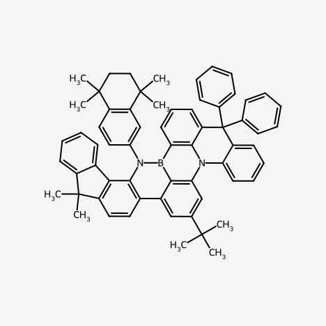 CC(C)(C)c1cc2c3c(c1)N1c4ccccc4C(c4ccccc4)(c4ccccc4)c4cccc(c41)B3N(c1ccc3c(c1)C(C)(C)CCC3(C)C)c1c-2ccc2c1-c1ccccc1C2(C)C